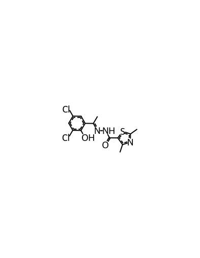 C/C(=N\NC(=O)c1sc(C)nc1C)c1cc(Cl)cc(Cl)c1O